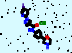 Cl.O=C(Nc1ccc(C2CNCCO2)cc1)c1cnn(-c2ccc(I)cn2)c1